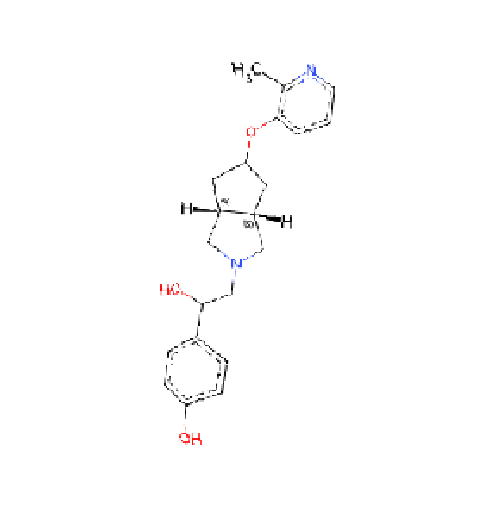 Cc1ncccc1OC1C[C@@H]2CN(CC(O)c3ccc(O)cc3)C[C@@H]2C1